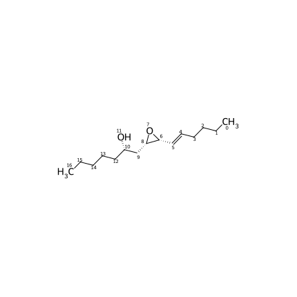 CCCC/C=C/[C@H]1O[C@H]1C[C@@H](O)CCCCC